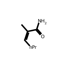 CCCC=C(C)C(N)=O